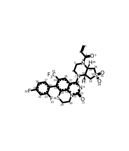 C=CC(=O)N1CCN(c2nc(=O)n3c4c(c(-c5ccc(F)cc5F)c(C(F)(F)F)cc24)SCC3)[C@H]2CS(=O)(=O)C[C@H]21